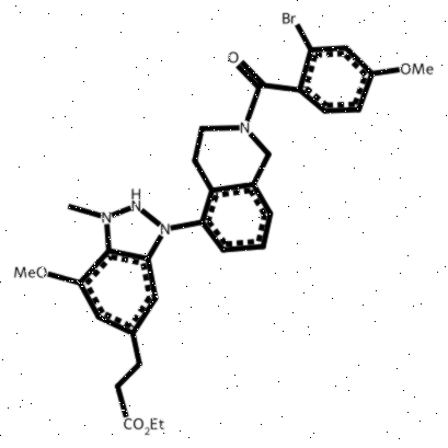 CCOC(=O)CCc1cc(OC)c2c(c1)N(c1cccc3c1CCN(C(=O)c1ccc(OC)cc1Br)C3)NN2C